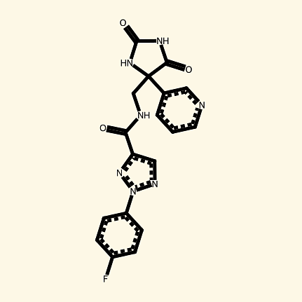 O=C1NC(=O)C(CNC(=O)c2cnn(-c3ccc(F)cc3)n2)(c2cccnc2)N1